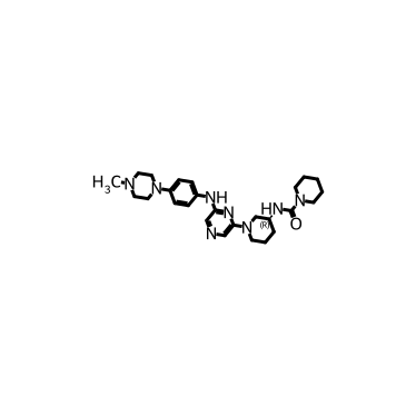 CN1CCN(c2ccc(Nc3cncc(N4CCC[C@@H](NC(=O)N5CCCCC5)C4)n3)cc2)CC1